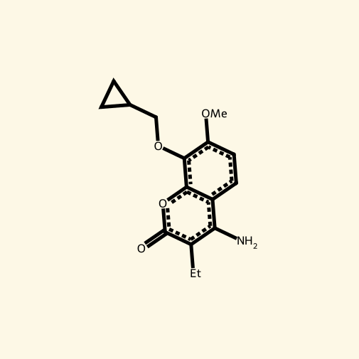 CCc1c(N)c2ccc(OC)c(OCC3CC3)c2oc1=O